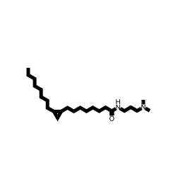 CCCCCCCCC1CC1CCCCCCCC(=O)NCCCN(C)C